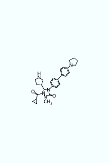 CN1C(=O)N(c2ccc(-c3ccc(N4CCCC4)cc3)cc2)C(C2CCNC2)N1C(=O)C1CC1